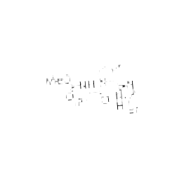 C=C1CCN(C(=O)[C@@H](NC(=O)OC)C(C)C)[C@@H]1c1ncc(Br)[nH]1